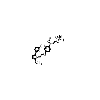 CCOC(CCOS(C)(=O)=O)c1ccc(OCCn2c(C)ccc2-c2ccc(C)s2)cc1